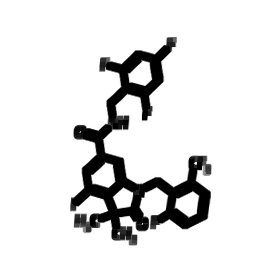 CC1(C)C(=O)N(Cc2c(F)cccc2C(F)(F)F)c2cc(C(=O)NCc3c(F)cc(F)cc3F)cc(I)c21